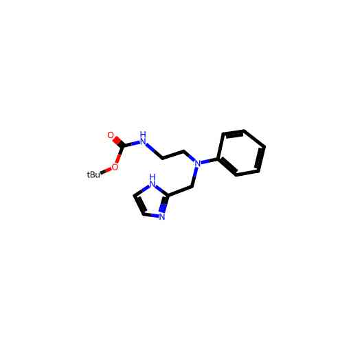 CC(C)(C)OC(=O)NCCN(Cc1ncc[nH]1)c1ccccc1